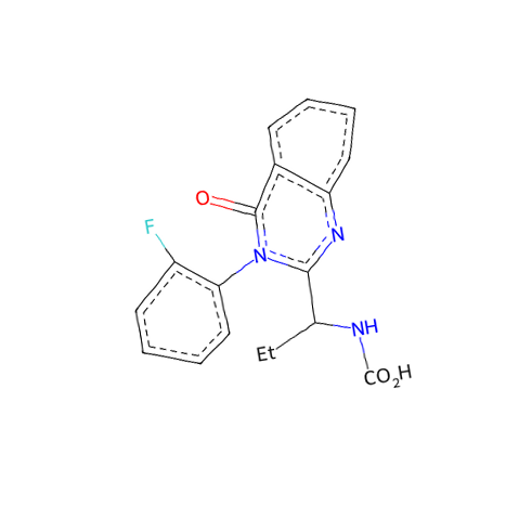 CCC(NC(=O)O)c1nc2ccccc2c(=O)n1-c1ccccc1F